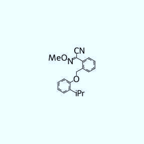 CON=C(C#N)c1ccccc1COc1ccccc1C(C)C